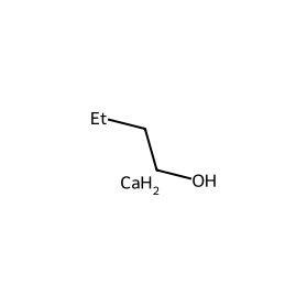 CCCCO.[CaH2]